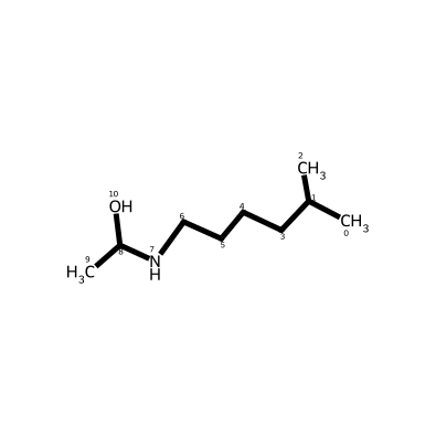 CC(C)CCCCNC(C)O